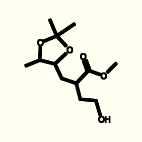 COC(=O)C(CCO)CC1OC(C)(C)OC1C